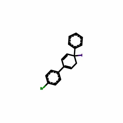 Brc1ccc(C2=CCC(I)(c3ccccc3)C=C2)cc1